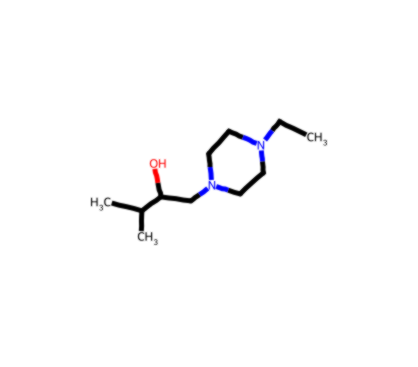 CCN1CCN(CC(O)C(C)C)CC1